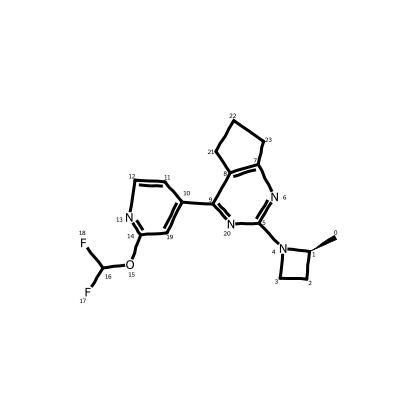 C[C@H]1CCN1c1nc2c(c(-c3ccnc(OC(F)F)c3)n1)CCC2